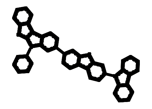 c1ccc(-n2c3cc(-c4ccc5c(c4)oc4cc(-n6c7ccccc7c7ccccc76)ccc45)ccc3c3c4ccccc4oc32)cc1